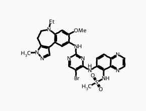 CCN1CCc2c(cnn2C)-c2cc(Nc3ncc(Br)c(Nc4ccc5nccnc5c4NS(C)(=O)=O)n3)c(OC)cc21